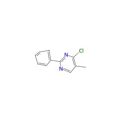 Cc1cnc(-c2ccccc2)nc1Cl